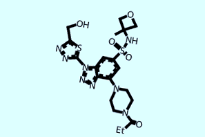 CCC(=O)N1CCN(c2cc(S(=O)(=O)NC3(C)COC3)cc3c2nnn3-c2nnc(CO)s2)CC1